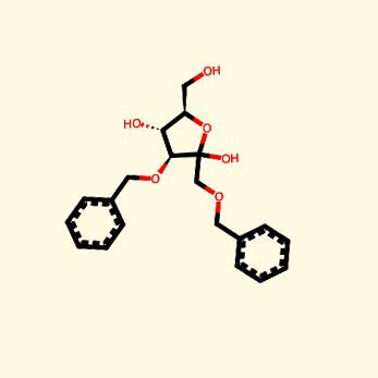 OC[C@H]1OC(O)(COCc2ccccc2)[C@@H](OCc2ccccc2)[C@@H]1O